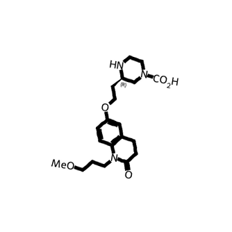 COCCCN1C(=O)CCc2cc(OCC[C@@H]3CN(C(=O)O)CCN3)ccc21